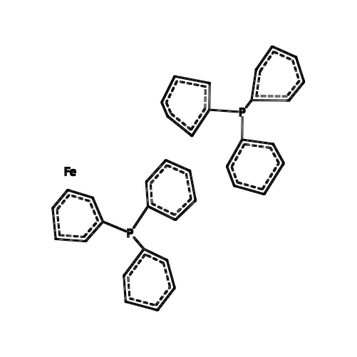 [Fe].c1ccc(P(c2ccccc2)c2ccccc2)cc1.c1ccc(P(c2ccccc2)c2ccccc2)cc1